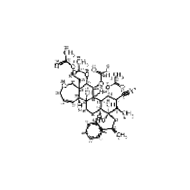 C=C(C[C@@]1(O)C(C)C(C#N)[C@@H](OC(C)=O)[C@@]2(C)[C@H]1CCC1(C)[C@@H]3C=CCOC[C@]3(CCOC(C)=O)[C@@H](OC(C)=O)[C@@H](OC(C)=O)[C@@H]12)c1ccccc1